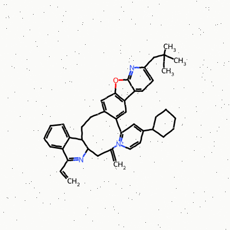 C=CC1=NC2CC(=C)[n+]3ccc(C4CCCCC4)cc3-c3cc4c(cc3CCC2c2ccccc21)oc1nc(CC(C)(C)C)ccc14